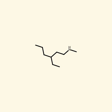 CCCC(CC)CCNC